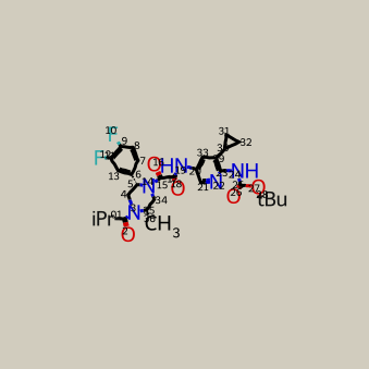 CC(C)C(=O)N1C[C@H](c2ccc(F)c(F)c2)N(C(=O)C(=O)Nc2cnc(NC(=O)OC(C)(C)C)c(C3CC3)c2)C[C@H]1C